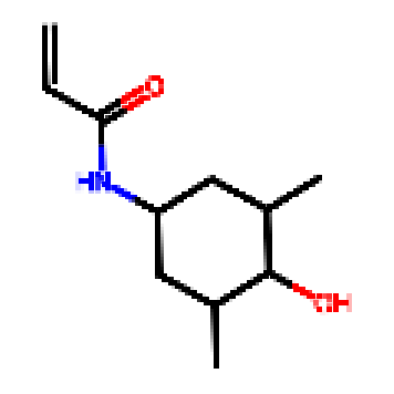 C=CC(=O)NC1CC(C)C(O)C(C)C1